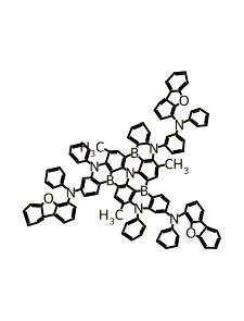 Cc1cc2c3c4c1N(c1cccc(N(c5ccccc5)c5cccc6c5oc5ccccc56)c1)c1ccccc1B4c1cc(C)c4c5c1N3c1c(cc(C)c3c1B2c1ccc(N(c2ccccc2)c2cccc6c2oc2ccccc26)cc1N3c1ccccc1)B5c1ccc(N(c2ccccc2)c2cccc3c2oc2ccccc23)cc1N4c1ccccc1